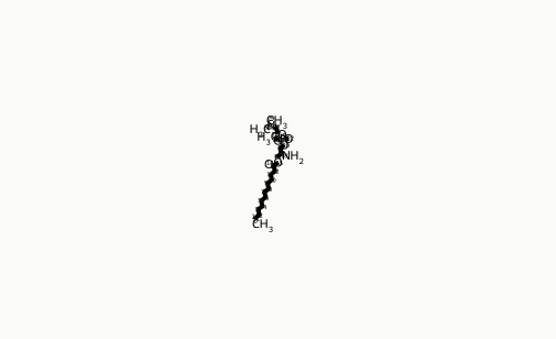 CCCCCCCCCCCCCC(=O)OCC(N)COP(=O)(OC)OCCN(C)C